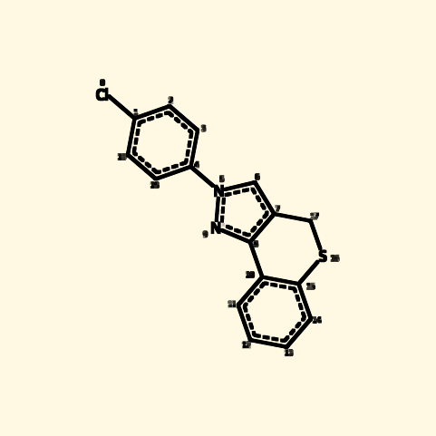 Clc1ccc(-n2cc3c(n2)-c2ccccc2SC3)cc1